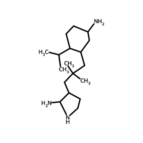 CC(C)C1CCC(N)CC1CC(C)(C)CC1CCNC1N